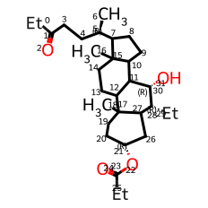 CCC(=O)CC[C@@H](C)C1CCC2C3C(CCC21C)C1(C)CC[C@@H](OC(=O)CC)CC1[C@@H](CC)[C@H]3O